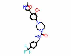 COc1cc(N2CCCN(C(=O)NCc3ccc(C(F)(F)F)cc3)CC2)ccc1-c1cnc(C)o1